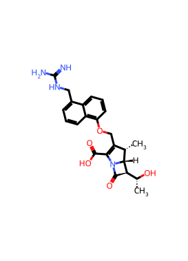 C[C@@H](O)[C@H]1C(=O)N2C(C(=O)O)=C(COc3cccc4c(CNC(=N)N)cccc34)[C@H](C)[C@H]12